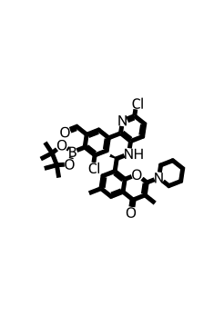 Cc1cc([C@@H](C)Nc2ccc(Cl)nc2-c2cc(Cl)c(B3OC(C)(C)C(C)(C)O3)c(C=O)c2)c2oc(N3CCCCC3)c(C)c(=O)c2c1